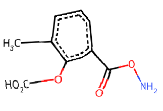 Cc1cccc(C(=O)ON)c1OC(=O)O